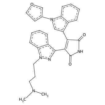 CN(C)CCCn1nc(C2=C(c3cn(-c4ccoc4)c4ccccc34)C(=O)NC2=O)c2ccccc21